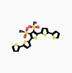 CC(C)S(=O)(=O)c1c(-c2ccc(-c3cccs3)s2)sc(-c2ccc(-c3cccs3)s2)c1S(=O)(=O)C(C)C